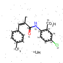 CC(=Cc1ccc(C(F)(F)F)cc1)C(=O)Nc1ccc(Cl)cc1C(=O)O.[LiH]